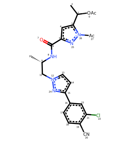 CC(=O)OC(C)c1cc(C(=O)N[C@@H](C)Cn2ccc(-c3ccc(C#N)c(Cl)c3)n2)nn1C(C)=O